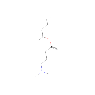 C=C(CCCN(C)C)OC(C)CCCCCCCCC